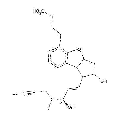 CC#CCC(C)[C@H](O)C=CC1C(O)CC2Oc3c(CCCC(=O)O)cccc3C21